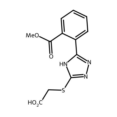 COC(=O)c1ccccc1-c1nnc(SCC(=O)O)[nH]1